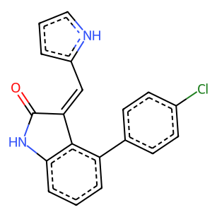 O=C1Nc2cccc(-c3ccc(Cl)cc3)c2C1=Cc1ccc[nH]1